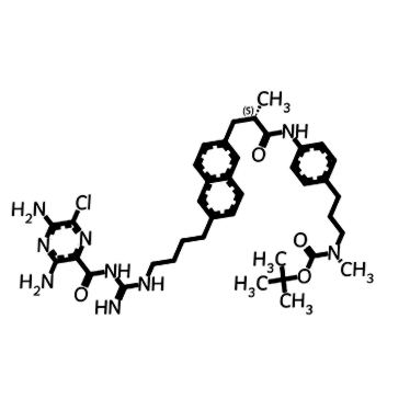 C[C@@H](Cc1ccc2cc(CCCCNC(=N)NC(=O)c3nc(Cl)c(N)nc3N)ccc2c1)C(=O)Nc1ccc(CCCN(C)C(=O)OC(C)(C)C)cc1